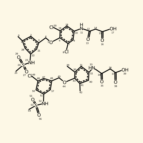 Cc1cc(COc2c(Cl)cc(NC(=O)CC(=O)O)cc2Cl)cc(NS(C)(=O)=O)c1.Cc1cc(NC(=O)CC(=O)O)cc(C)c1OCc1cc(Cl)cc(NS(C)(=O)=O)c1